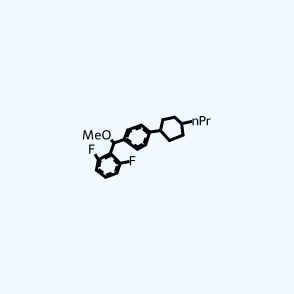 CCCC1CCC(c2ccc(C(OC)c3c(F)cccc3F)cc2)CC1